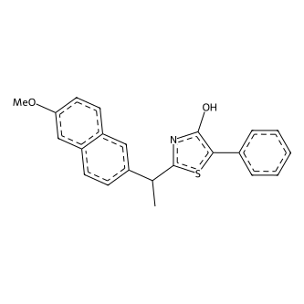 COc1ccc2cc(C(C)c3nc(O)c(-c4ccccc4)s3)ccc2c1